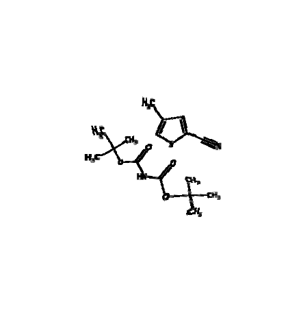 CC(C)(C)OC(=O)NC(=O)OC(C)(C)C.Cc1csc(C#N)c1